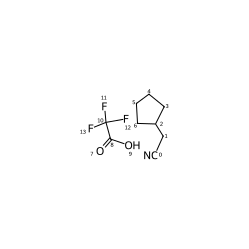 N#CCC1CCCC1.O=C(O)C(F)(F)F